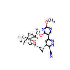 COc1ncc(-c2cc([C@H]3C[C@@H]3CO[Si](C)(C)C(C)(C)C)c(C#N)nn2)c(OC)n1